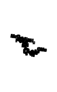 COCC(C)(C)n1cc(N2CC(c3nc4c5cc(F)c(OC)cc5nc(N)n4n3)CCC2C)cn1